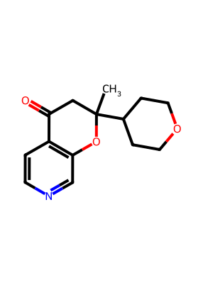 CC1(C2CCOCC2)CC(=O)c2ccncc2O1